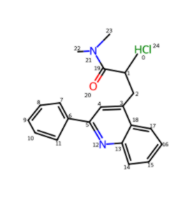 CC(Cc1cc(-c2ccccc2)nc2ccccc12)C(=O)N(C)C.Cl